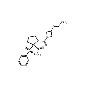 CCOC1CN(C(=O)[C@H]2CCC[C@@]2(C(=O)O)S(=O)(=O)c2ccccc2)C1